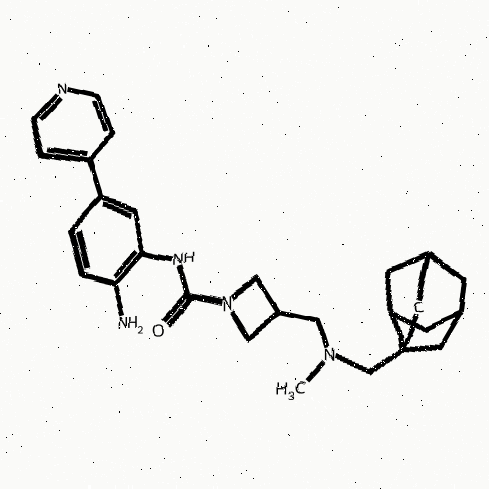 CN(CC1CN(C(=O)Nc2cc(-c3ccncc3)ccc2N)C1)CC12CC3CC(CC1C3)C2